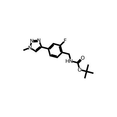 Cn1cc(-c2ccc(CNC(=O)OC(C)(C)C)c(F)c2)nn1